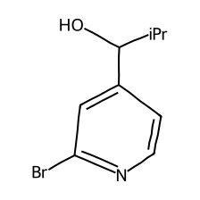 CC(C)C(O)c1ccnc(Br)c1